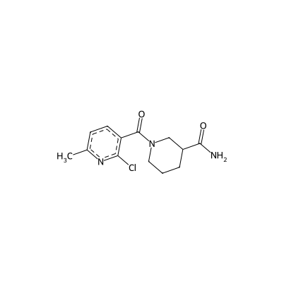 Cc1ccc(C(=O)N2CCCC(C(N)=O)C2)c(Cl)n1